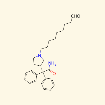 NC(=O)C(c1ccccc1)(c1ccccc1)[C@@H]1CCN(CCCCCCCCC=O)C1